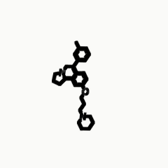 Cc1cccc(C2=c3ccc(OCCCN4CCCCC4)cc3=C3CCCN3C2)c1